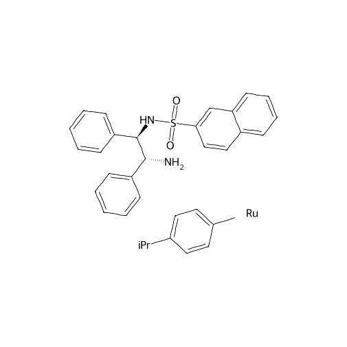 Cc1ccc(C(C)C)cc1.N[C@H](c1ccccc1)[C@H](NS(=O)(=O)c1ccc2ccccc2c1)c1ccccc1.[Ru]